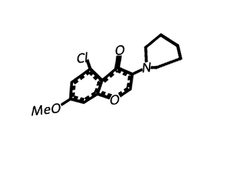 COc1cc(Cl)c2c(=O)c(N3CCCCC3)coc2c1